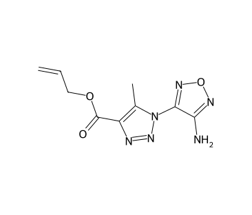 C=CCOC(=O)c1nnn(-c2nonc2N)c1C